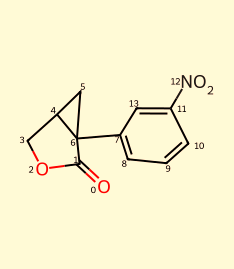 O=C1OCC2CC12c1cccc([N+](=O)[O-])c1